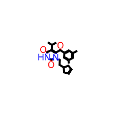 Cc1cc(C)cc(C(=O)c2c(C(C)C)c(=O)[nH]c(=O)n2CCC2CC=CC2)c1